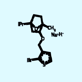 CC(C)C12CCC(C)(O1)C(OCc1ccsc1Br)C2.[H-].[Na+]